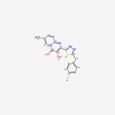 Cc1ccc2nc(-c3nnc(Cc4ccc(F)cc4)s3)c(O)c(=O)n2c1